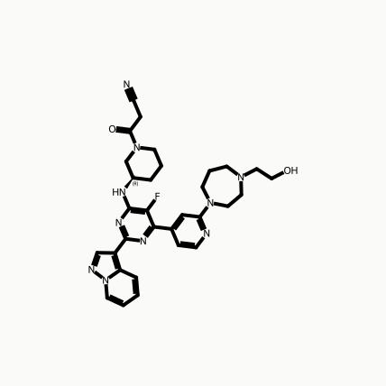 N#CCC(=O)N1CCC[C@@H](Nc2nc(-c3cnn4ccccc34)nc(-c3ccnc(N4CCCN(CCO)CC4)c3)c2F)C1